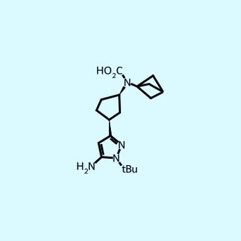 CC(C)(C)n1nc([C@H]2CC[C@@H](N(C(=O)O)C34CC(C3)C4)C2)cc1N